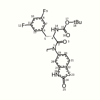 CN(C(=O)[C@H](Cc1cc(F)cc(F)c1)NC(=O)OC(C)(C)C)c1ccc2sc(=O)[nH]c2c1